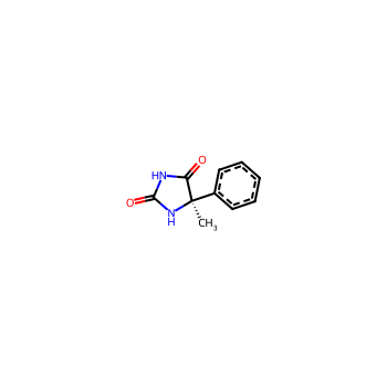 C[C@]1(c2ccccc2)NC(=O)NC1=O